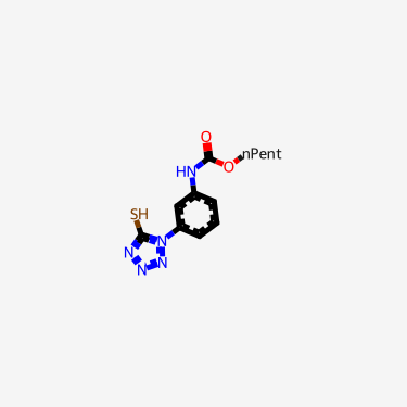 CCCCCOC(=O)Nc1cccc(-n2nnnc2S)c1